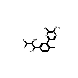 Cc1ccc(C(O)C(O)C(F)F)cc1-c1cnc(N)c(Cl)n1